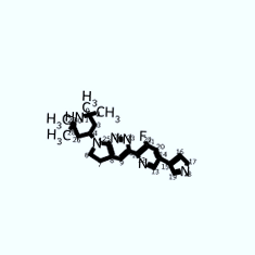 CC1(C)CC(N2CCc3cc(-c4ncc(C5=CCN=C5)cc4F)nnc32)CC(C)(C)N1